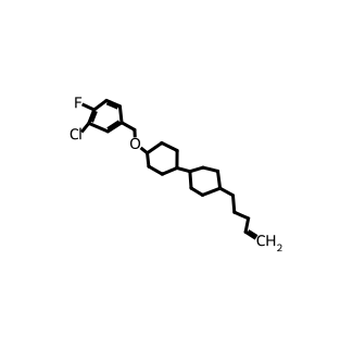 C=CCCCC1CCC(C2CCC(OCc3ccc(F)c(Cl)c3)CC2)CC1